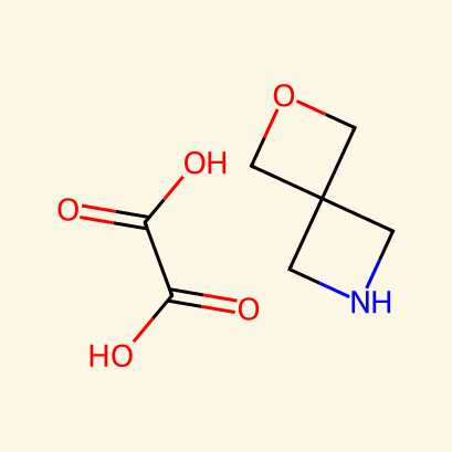 C1NCC12COC2.O=C(O)C(=O)O